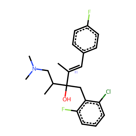 C/C(=C\c1ccc(F)cc1)C(O)(Cc1c(F)cccc1Cl)C(C)CN(C)C